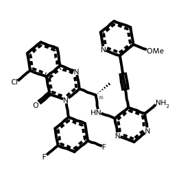 COc1cccnc1C#Cc1c(N)ncnc1N[C@@H](C)c1nc2cccc(Cl)c2c(=O)n1-c1cc(F)cc(F)c1